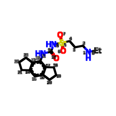 CCNCCCS(=O)(=O)NC(=O)Nc1c2c(cc3c1CCC3)CCC2